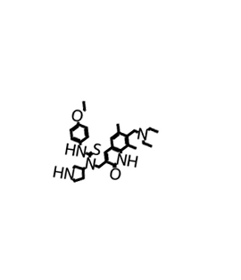 CCOc1ccc(NC(=S)N(Cc2cc3cc(C)c(CN(CC)CC)c(C)c3[nH]c2=O)C2CCNC2)cc1